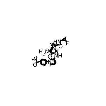 CN(C)C(=O)c1ccc(-n2cccc(Nc3cc(N)c4ncc(C(=O)N[C@@H]5C[C@@H]5F)n4n3)c2=O)cc1